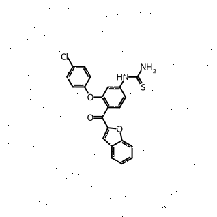 NC(=S)Nc1ccc(C(=O)c2cc3ccccc3o2)c(Oc2ccc(Cl)cc2)c1